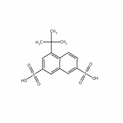 CC(C)(C)c1cc(S(=O)(=O)O)cc2cc(S(=O)(=O)O)ccc12